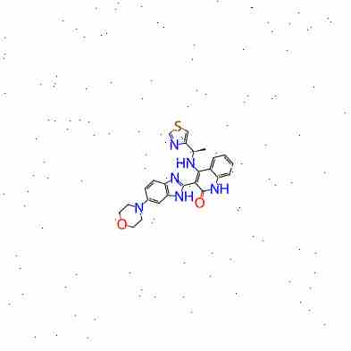 C[C@@H](Nc1c(-c2nc3ccc(N4CCOCC4)cc3[nH]2)c(=O)[nH]c2ccccc12)c1cscn1